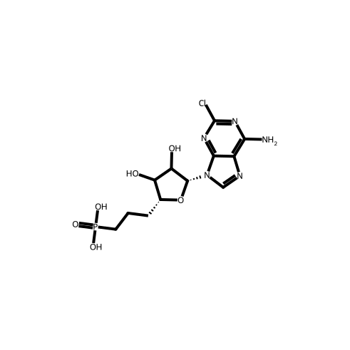 Nc1nc(Cl)nc2c1ncn2[C@@H]1O[C@H](CCCP(=O)(O)O)C(O)C1O